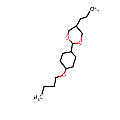 CCCCOC1CCC(C2OCC(CCC)CO2)CC1